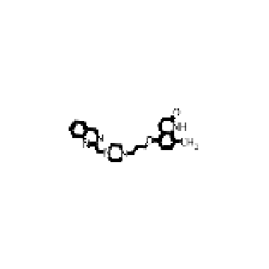 Cc1ccc(OCCCN2CCN(Cc3ncc4ccccc4n3)CC2)c2c1NC(=O)CC2